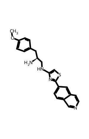 COc1ccc(C[C@H](N)CNc2csc(-c3ccc4cnccc4c3)n2)cc1